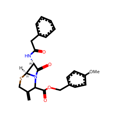 C=C1CS[C@H]2[C@H](NC(=O)Cc3ccccc3)C(=O)N2C1C(=O)OCc1ccc(OC)cc1